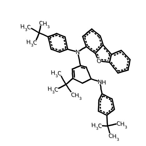 CC(C)(C)C1=CC(N(c2ccc(C(C)(C)C)cc2)c2cccc3c2oc2ccccc23)=CC(Nc2ccc(C(C)(C)C)cc2)C1